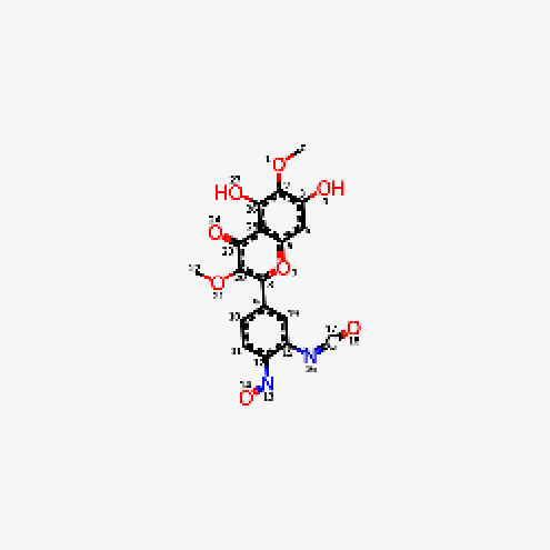 COc1c(O)cc2oc(-c3ccc(N=O)c(N=C=O)c3)c(OC)c(=O)c2c1O